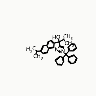 CC(C)c1ccc2cc(C(O)(c3cn(C(c4ccccc4)(c4ccccc4)c4ccccc4)cn3)C(C)C)ccc2c1